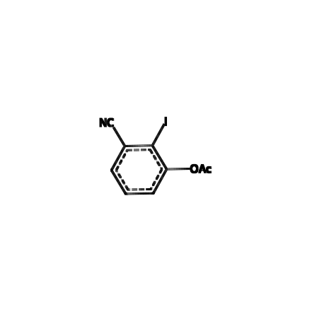 CC(=O)Oc1cccc(C#N)c1I